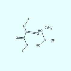 O=C(OF)C(=O)OF.OB(O)O.[CaH2]